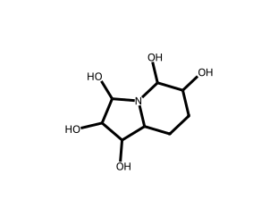 OC1CCC2C(O)C(O)C(O)N2C1O